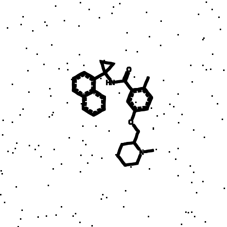 Cc1ccc(OCC2CCCCN2C)cc1C(=O)NC1(c2cccc3ccccc23)CC1